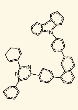 C1=CC(c2nc(-c3ccccc3)cc(-c3ccc(-c4cccc5ccc(-c6ccc(-n7c8ccccc8c8ccccc87)cc6)cc45)cc3)n2)=CCC1